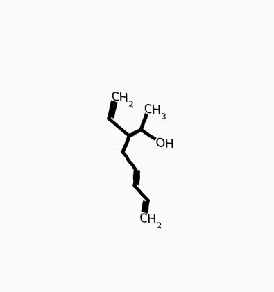 C=C/C=C/CC(C=C)C(C)O